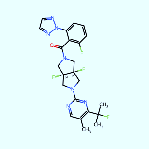 Cc1cnc(N2C[C@]3(F)CN(C(=O)c4c(F)cccc4-n4nccn4)C[C@]3(F)C2)nc1C(C)(C)F